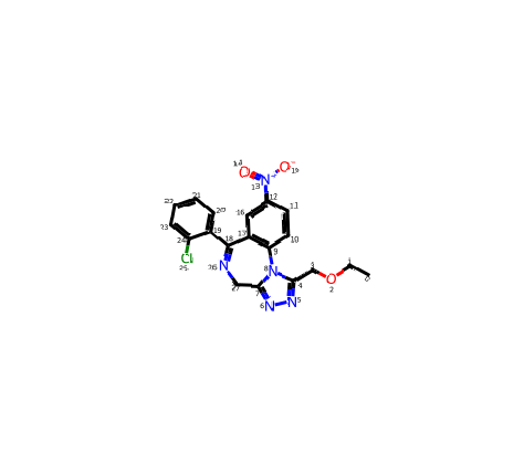 CCOCc1nnc2n1-c1ccc([N+](=O)[O-])cc1C(c1ccccc1Cl)=NC2